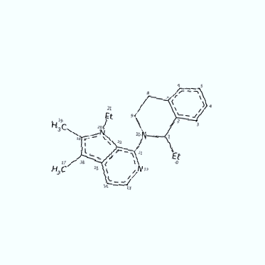 CCC1c2ccccc2CCN1c1nccc2c(C)c(C)n(CC)c12